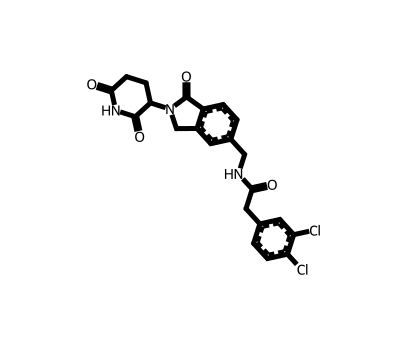 O=C(Cc1ccc(Cl)c(Cl)c1)NCc1ccc2c(c1)CN(C1CCC(=O)NC1=O)C2=O